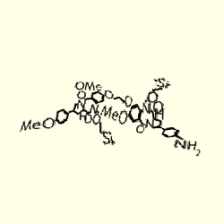 COc1cc2c(cc1OCCCOc1cc3c(cc1OC)C(=O)N1C=C(c4ccc(CN)cc4)C[C@H]1C(=O)N3COCC[Si](C)(C)C)N(COCC[Si](C)(C)C)C(=O)[C@@H]1CC(C3=CCC(OC)C=C3)=CN1C2=O